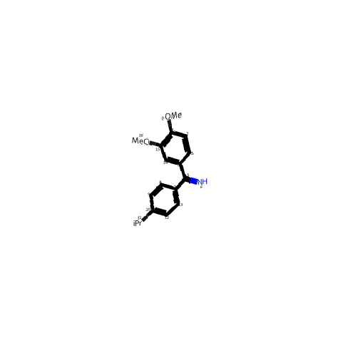 COc1c[c]c(C(=N)c2ccc(C(C)C)cc2)cc1OC